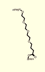 CCCCCCCOCCOCCOCCOCCCC(=O)OCCCCCC